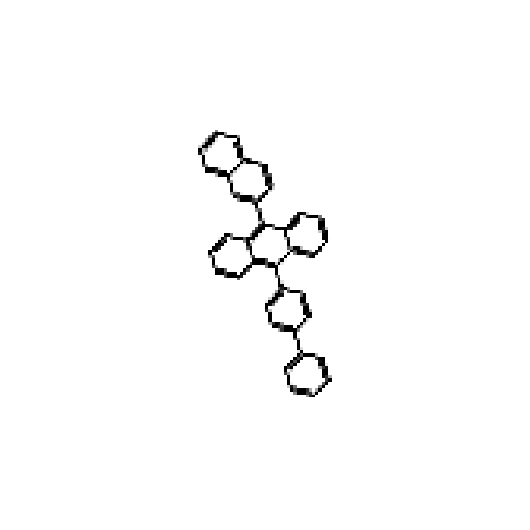 c1ccc(-c2ccc(-c3c4ccccc4c(-c4ccc5ccccc5c4)c4ccccc34)cc2)cc1